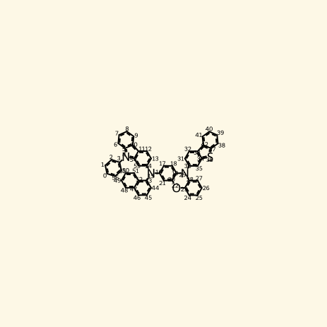 c1ccc(-n2c3ccccc3c3ccc(N(c4ccc5c(c4)Oc4ccccc4N5c4ccc5c(c4)sc4ccccc45)c4cccc5ccccc45)cc32)cc1